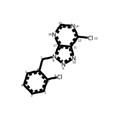 Clc1ccccc1Cn1nnc2c(Cl)ncnc21